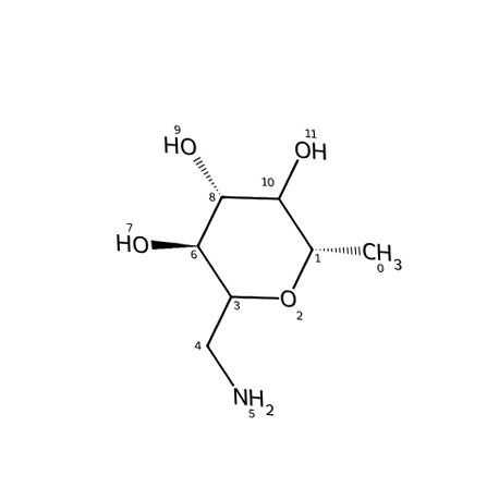 C[C@@H]1OC(CN)[C@@H](O)[C@H](O)C1O